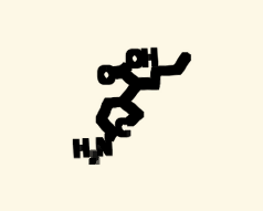 CCCC=C(C(=O)O)C1CCC(N)CC1